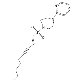 CCCCCC#CC=CS(=O)(=O)N1CCN(c2ccccn2)CC1